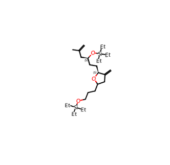 C=C(C)C[C@H](CC[C@@H]1OC(CCCO[Si](CC)(CC)CC)CC1=C)O[Si](CC)(CC)CC